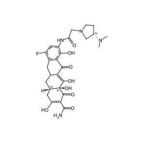 CN(C)[C@H]1CCN(CC(=O)Nc2cc(F)c3c(c2O)C(=O)C2=C(O)[C@]4(O)C(=O)C(C(N)=O)=C(O)C[C@@H]4CC2C3)C1